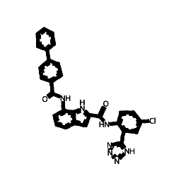 O=C(Nc1cccc2cc(C(=O)Nc3ccc(Cl)cc3-c3nnn[nH]3)[nH]c12)c1ccc(-c2ccccc2)cc1